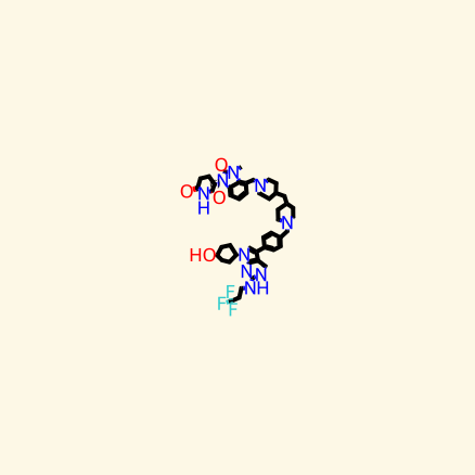 Cn1c(=O)n([C@H]2CCC(=O)NC2=O)c2cccc(CN3CCC(CC4CCN(Cc5ccc(-c6cn([C@H]7CC[C@H](O)CC7)c7nc(NCCC(F)(F)F)ncc67)cc5)CC4)CC3)c21